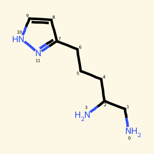 NCC(N)CCCc1cc[nH]n1